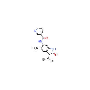 CCC(CC)C1C(=O)Nc2cc(NC(=O)c3cccnc3)c([N+](=O)[O-])cc21